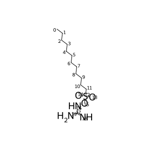 CCCCCCCCCCCCS(=O)(=O)ONC(=N)N